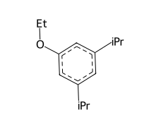 [CH2]C(C)c1cc(OCC)cc(C(C)C)c1